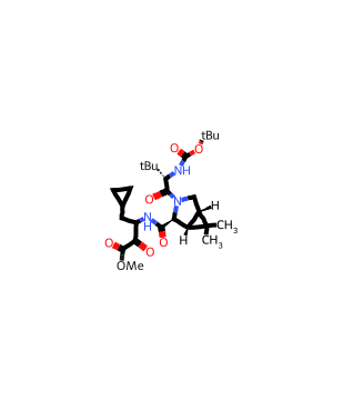 COC(=O)C(=O)C(CC1CC1)NC(=O)[C@@H]1[C@@H]2[C@H](CN1C(=O)[C@@H](NC(=O)OC(C)(C)C)C(C)(C)C)C2(C)C